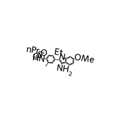 CCCS(=O)(=O)Nc1ccc(-c2c(N)c3ccc(OC)cc3n2CC)cc1C